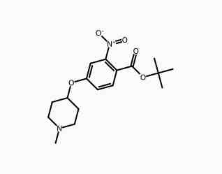 CN1CCC(Oc2ccc(C(=O)OC(C)(C)C)c([N+](=O)[O-])c2)CC1